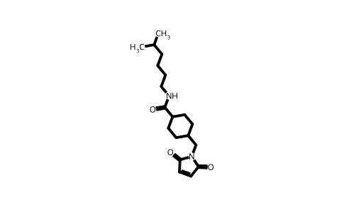 CC(C)CCCCNC(=O)C1CCC(CN2C(=O)C=CC2=O)CC1